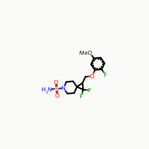 COc1ccc(F)c(OCC2C(F)(F)C23CCN(S(N)(=O)=O)CC3)c1